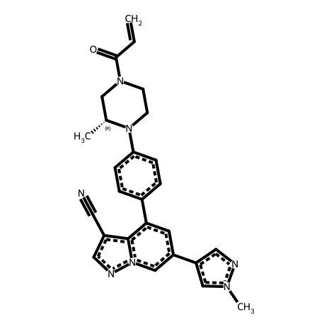 C=CC(=O)N1CCN(c2ccc(-c3cc(-c4cnn(C)c4)cn4ncc(C#N)c34)cc2)[C@H](C)C1